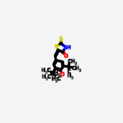 COc1c(C(C)(C)C)cc(C=C2SC(=S)NC2=O)cc1C(C)(C)C